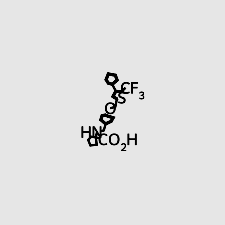 O=C(O)C1(NCc2ccc(OCc3cc(-c4ccccc4)c(C(F)(F)F)s3)cc2)CCCC1